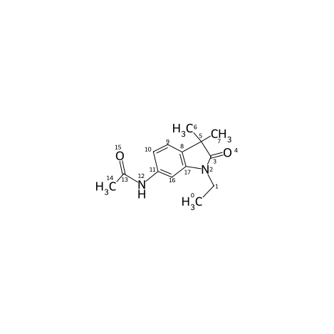 CCN1C(=O)C(C)(C)c2ccc(NC(C)=O)cc21